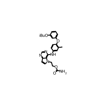 Cc1cc(Nc2ncnc3ccn(CCOC(N)=O)c23)ccc1Oc1cccc(OCC(C)C)c1